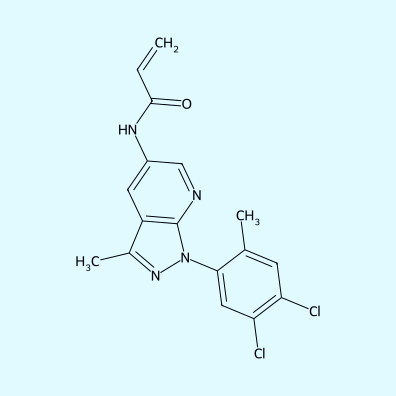 C=CC(=O)Nc1cnc2c(c1)c(C)nn2-c1cc(Cl)c(Cl)cc1C